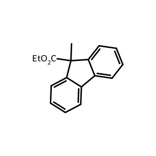 CCOC(=O)C1(C)c2ccccc2-c2ccccc21